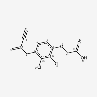 C#CC(=C)Cc1ccc(OCC(=O)O)c(Cl)c1Cl